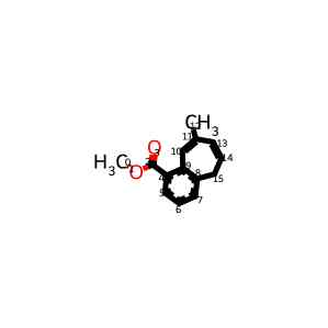 COC(=O)c1cccc2c1C=C(C)C=CC2